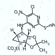 CCCSc1nc(Cl)c([N+](=O)[O-])c(N[C@H]2[C@@H]3OC(C)(C)O[C@@H]3[C@@]3(C(=O)OCC)C[C@H]23)n1